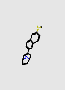 CSc1ccc2cc(C3=CC4CCC(C3)N4C)ccc2c1